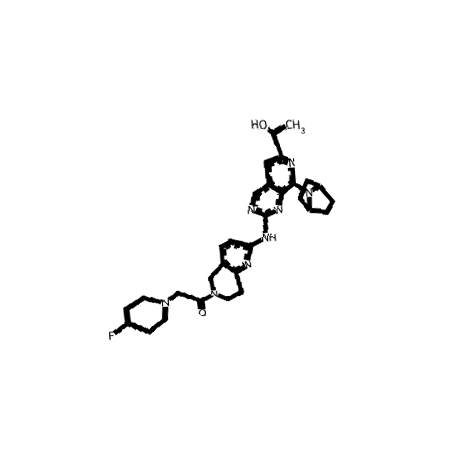 CC(O)c1cc2cnc(Nc3ccc4c(n3)CCN(C(=O)CN3CCC(F)CC3)C4)nc2c(N2C3CCC2CC3)n1